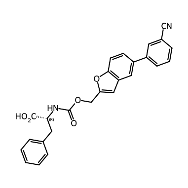 N#Cc1cccc(-c2ccc3oc(COC(=O)N[C@H](Cc4ccccc4)C(=O)O)cc3c2)c1